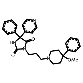 COC1(c2ccccc2)CCN(CCCN2C(=O)NC(c3ccccc3)(c3ccncc3)C2=O)CC1